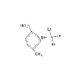 CC[N+](CC)(CC)CC.Cc1ccc(S(=O)(=O)O)cc1